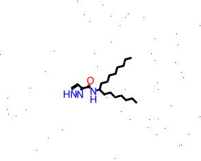 CCCCCCCCC(CCCCCCC)NC(=O)c1cc[nH]n1